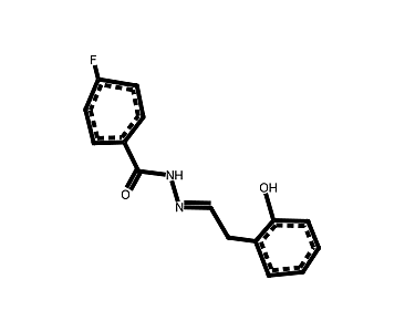 O=C(NN=CCc1ccccc1O)c1ccc(F)cc1